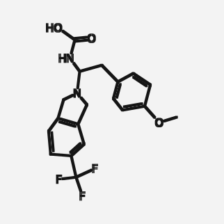 COc1ccc(CC(NC(=O)O)N2Cc3ccc(C(F)(F)F)cc3C2)cc1